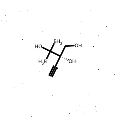 BC(B)(O)[C@](O)(C#C)CO